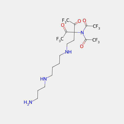 NCCCNCCCCNCCC(C(=O)C(F)(F)F)(C(=O)C(F)(F)F)N(C(=O)C(F)(F)F)C(=O)C(F)(F)F